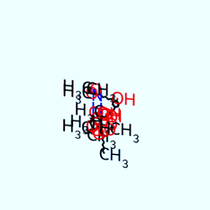 C/C=C(/C)C(=O)OC1C(C)=C2[C@@H](C[C@H](OC(C)=O)CC(OC(=O)CCc3ccc(O)c(CCCCCNC(=O)OC(C)(C)C)c3)[C@@]3(O)[C@H]2OC(=O)[C@@]3(C)O)[C@@H]1OC(=O)CCCCCCC